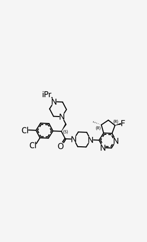 CC(C)N1CCN(C[C@@H](C(=O)N2CCN(c3ncnc4c3[C@H](C)C[C@H]4F)CC2)c2ccc(Cl)c(Cl)c2)CC1